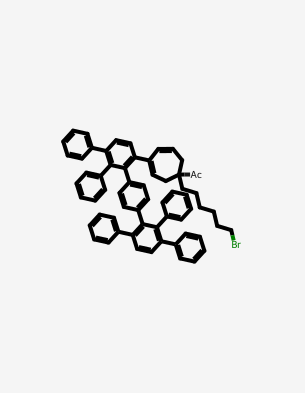 CC(=O)C1(CCCCCCBr)CC=CC(c2ccc(-c3ccccc3)c(-c3ccccc3)c2-c2ccc(-c3c(-c4ccccc4)ccc(-c4ccccc4)c3-c3ccccc3)cc2)=CC1